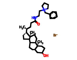 C[C@H](CCC(=O)NCC[N+]1(Cc2ccccc2)CCCC1)[C@H]1CCC2C3CCC4C[C@H](O)CC[C@]4(C)C3CC[C@@]21C.[Br-]